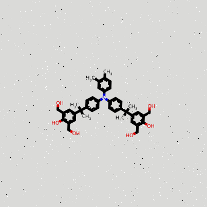 Cc1ccc(N(c2ccc(C(C)(C)c3cc(CO)c(O)c(CO)c3)cc2)c2ccc(C(C)(C)c3cc(CO)c(O)c(CO)c3)cc2)cc1C